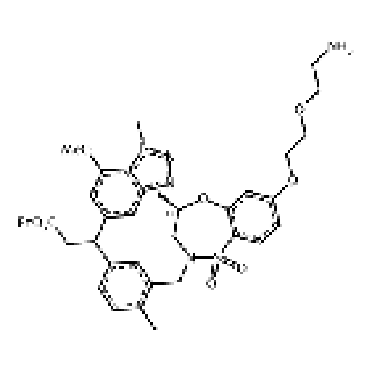 CCOC(=O)CC(c1ccc(C)c(CN2C[C@@H](C)Oc3cc(OCCOCCN)ccc3S2(=O)=O)c1)c1cc(OC)c2c(c1)nnn2C